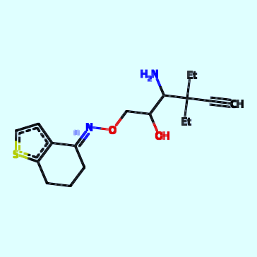 C#CC(CC)(CC)C(N)C(O)CO/N=C1\CCCc2sccc21